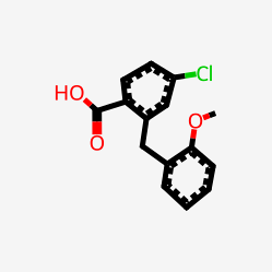 COc1ccccc1Cc1cc(Cl)ccc1C(=O)O